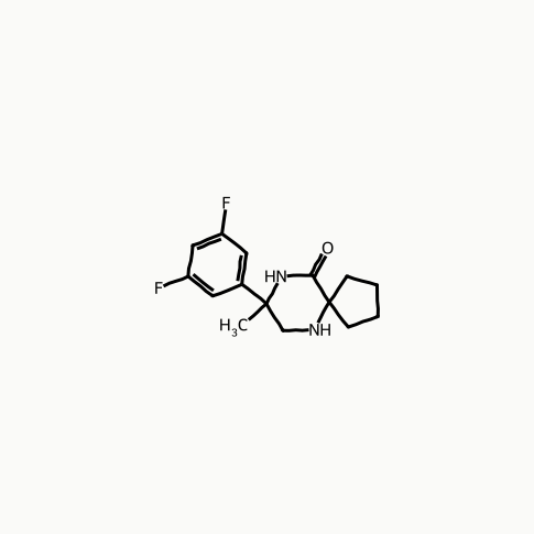 CC1(c2cc(F)cc(F)c2)CNC2(CCCC2)C(=O)N1